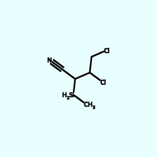 C[SiH2]C(C#N)C(Cl)CCl